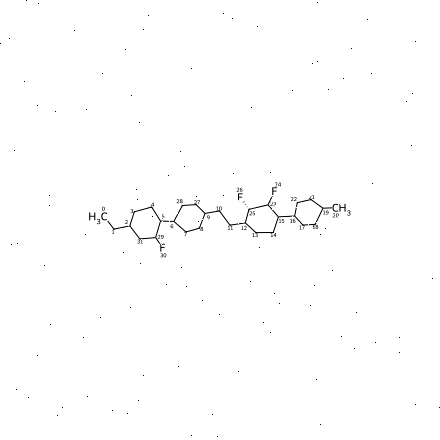 CCC1CCC(C2CCC(CCC3CCC(C4CCC(C)CC4)C(F)[C@H]3F)CC2)C(F)C1